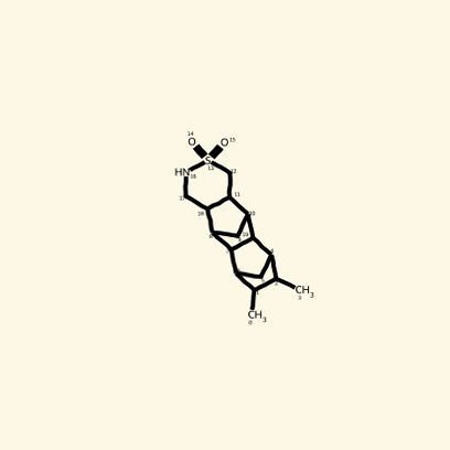 CC1C(C)C2CC1C1C3CC(C4CS(=O)(=O)NCC43)C21